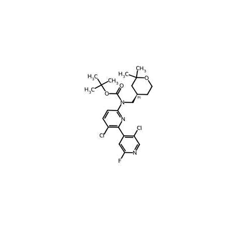 CC(C)(C)OC(=O)N(C[C@@H]1CCOC(C)(C)C1)c1ccc(Cl)c(-c2cc(F)ncc2Cl)n1